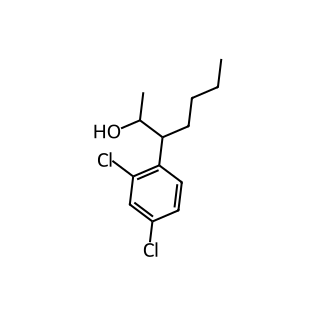 CCCCC(c1ccc(Cl)cc1Cl)C(C)O